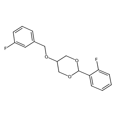 Fc1cccc(COC2COC(c3ccccc3F)OC2)c1